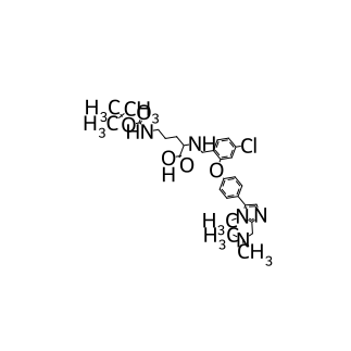 CN(C)Cc1ncc(-c2ccc(Oc3cc(Cl)ccc3CNC(CCCNC(=O)OC(C)(C)C)C(=O)O)cc2)n1C